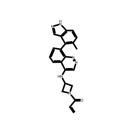 C=CC(=O)N1CC(Nc2cnnc3c(-c4c(C)ccc5[nH]ncc45)cccc23)C1